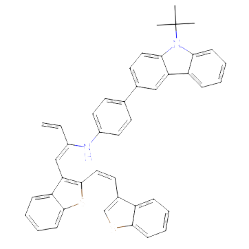 C=C/C(=C/c1c(/C=C\c2csc3ccccc23)sc2ccccc12)Nc1ccc(-c2ccc3c(c2)c2ccccc2n3C(C)(C)C)cc1